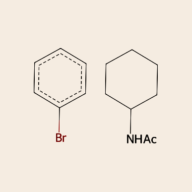 Brc1ccccc1.CC(=O)NC1CCCCC1